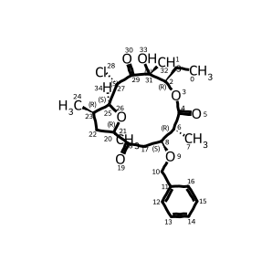 CC[C@H]1OC(=O)[C@H](C)[C@@H](OCc2ccccc2)CC(=O)[C@@]2(C)C[C@@H](C)[C@H](O2)[C@H](Cl)C(=O)[C@]1(C)O